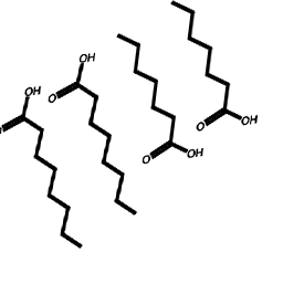 CCCCCCC(=O)O.CCCCCCC(=O)O.CCCCCCCC(=O)O.CCCCCCCC(=O)O